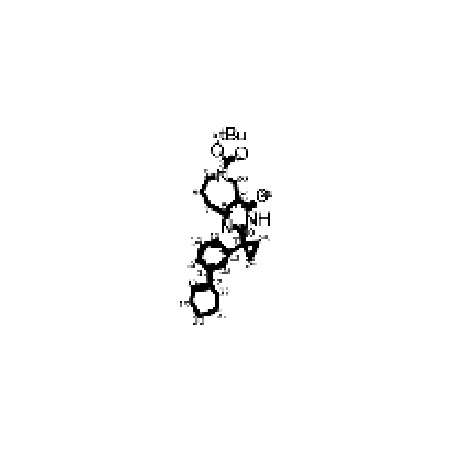 CC(C)(C)OC(=O)N1CCCc2nc(C3(c4cccc(C5=CCCCC5)c4)CC3)[nH]c(=O)c2C1